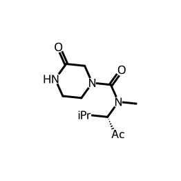 CC(=O)[C@H](C(C)C)N(C)C(=O)N1CCNC(=O)C1